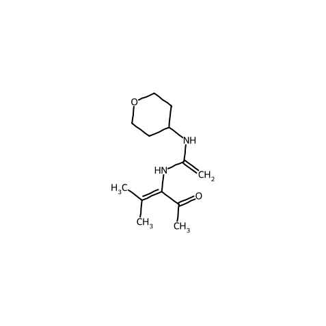 C=C(NC(C(C)=O)=C(C)C)NC1CCOCC1